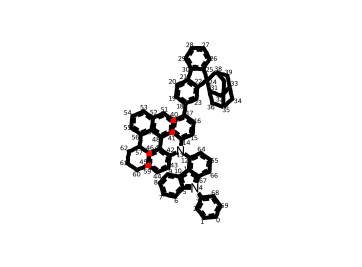 c1ccc(-n2c3ccccc3c3c(N(c4ccc(-c5ccc6c(c5)C5(c7ccccc7-6)C6CC7CC(C6)CC5C7)cc4)c4ccccc4-c4cccc5cccc(C6CCCCC6)c45)cccc32)cc1